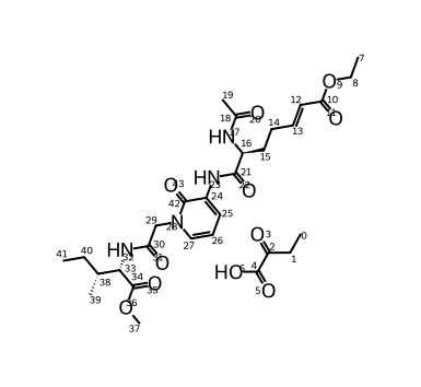 CCC(=O)C(=O)O.CCOC(=O)/C=C/CC[C@H](NC(C)=O)C(=O)Nc1cccn(CC(=O)N[C@H](C(=O)OC)[C@H](C)CC)c1=O